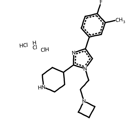 Cc1cc(-c2cn(CCN3CCC3)c(C3CCNCC3)n2)ccc1F.Cl.Cl.Cl